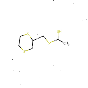 CC(S)SCC1CSCCS1